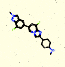 CNC1CCC(c2cn3cc(-c4cc(F)c5nn(C)cc5c4)cc(F)c3n2)CC1